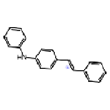 C(=C\c1ccc(Nc2ccccc2)cc1)/c1ccccc1